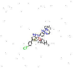 CN1CCCn2c1nc1cc(-n3cnc4cc(-c5ccc(Cl)cc5)sc4c3=O)ccc12.CS(=O)(=O)O